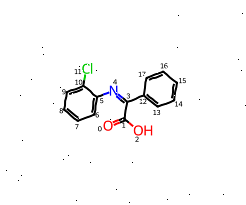 O=C(O)C(=Nc1ccccc1Cl)c1ccccc1